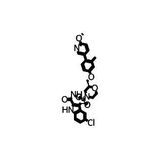 COc1ccc(-c2ccc(OC[C@@H]3CN(S(=O)(=O)c4c(C(N)=O)[nH]c5ccc(Cl)cc45)CCO3)cc2C)cn1